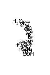 C=CC(=O)N1CCCC(S(=O)(=O)c2ccc(N3CC(CN4CCC(C(C#N)(c5cccc(F)c5)[C@H]5CCC[C@@H]5NC(=O)O)CC4)C3)cc2)C1